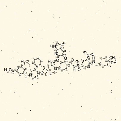 CCc1ccccc1[C@@H]1CN(Cc2ccnc(OC)c2)CCN1C1CC2(CCN(c3ccc(C(=O)NS(=O)(=O)c4cnc(NCC5CCC(C)(O)CC5)c([N+](=O)[O-])c4)c(Oc4cc5c(F)c[nH]c5nc4OC)c3)CC2)C1